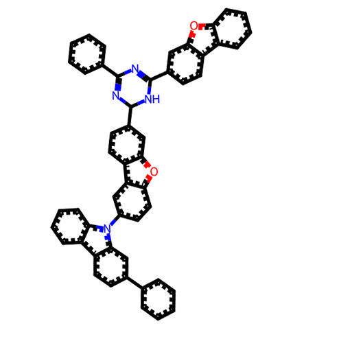 c1ccc(C2=NC(c3ccc4c(c3)oc3ccc(-n5c6ccccc6c6ccc(-c7ccccc7)cc65)cc34)NC(c3ccc4c(c3)oc3ccccc34)=N2)cc1